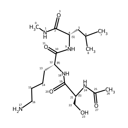 CNC(=O)[C@H](CC(C)C)NC(=O)[C@@H](CCCCN)NC(=O)[C@H](CO)NC(C)=O